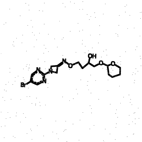 OC(CCON=C1CN(c2ncc(Br)cn2)C1)COC1CCCCO1